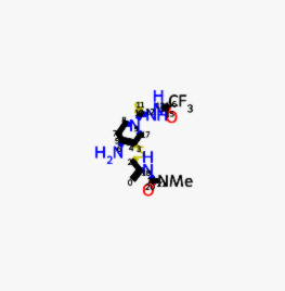 C=C(CSC1=C(N)CCN(C(=S)NNC(=O)C(F)(F)F)C1)NC(=O)NC